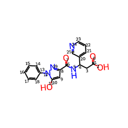 O=C(O)CC(NC(=O)c1cc(O)n(-c2ccccc2)n1)c1cccnc1